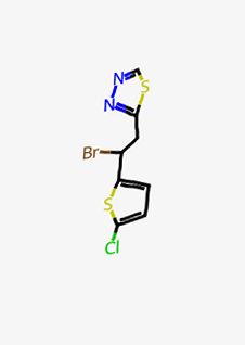 Clc1ccc(C(Br)Cc2nncs2)s1